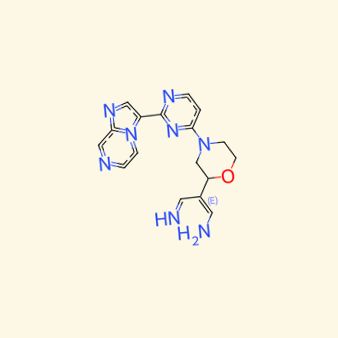 N=C/C(=C\N)C1CN(c2ccnc(-c3cnc4cnccn34)n2)CCO1